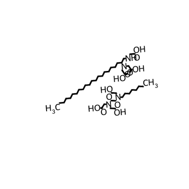 CCCCCCCCCCCCCCCCCCCCC(CNCC(=O)O)N(CC(=O)O)CC(=O)O.CCCCCCCCN(CCN(CC(=O)O)CC(=O)O)CC(=O)O